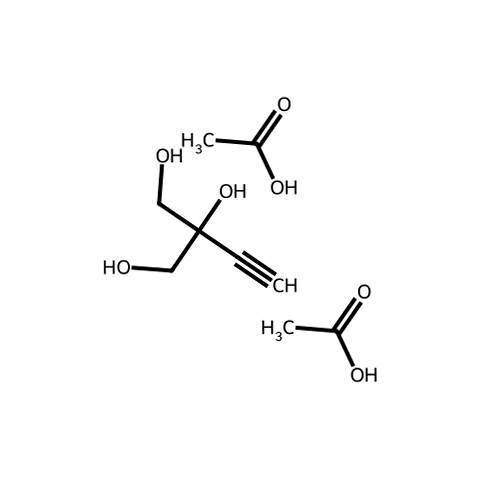 C#CC(O)(CO)CO.CC(=O)O.CC(=O)O